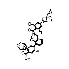 COCC1(OC)CN(c2cc(Cl)c(C(=O)N3COc4c(cccc4-c4cc(N5C6CCC5COC6)c(C(=O)O)cc4F)C3)c(Cl)c2)C1